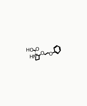 O=C(O)[C@H]1NCCC1OCCOc1ccccc1